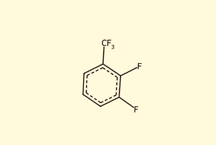 Fc1cccc(C(F)(F)F)c1F